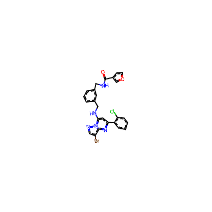 O=C(NCc1cccc(CNc2cc(-c3ccccc3Cl)nc3c(Br)cnn23)c1)c1ccoc1